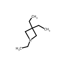 CCN1CC(CC)(CC)C1